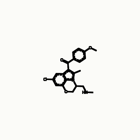 CNCC1COc2cc(Cl)cc3c(C(=O)c4ccc(OC)cc4)c(C)n1c23